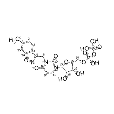 Cc1ccc2c(Cn3c(=O)ccn(C4OC(COP(=O)(O)OP(=O)(O)O)C(O)C4O)c3=O)noc2c1